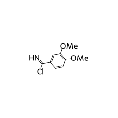 COc1ccc(C(=N)Cl)cc1OC